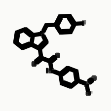 O=C(Nc1ccc([N+](=O)[O-])cc1)C(=O)c1cn(Cc2ccc(F)cc2)c2ccccc12